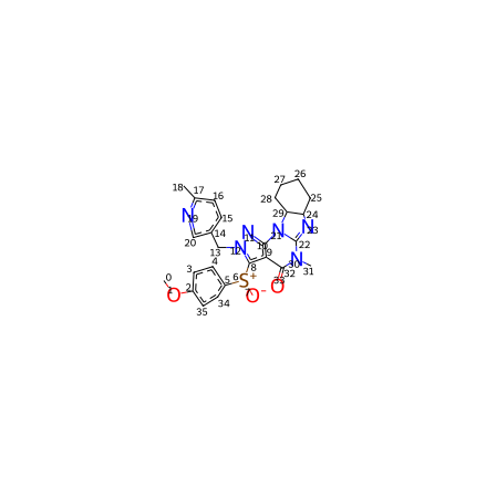 COc1ccc([S+]([O-])c2c3c(nn2Cc2ccc(C)nc2)N2C(=NC4CCCCC42)N(C)C3=O)cc1